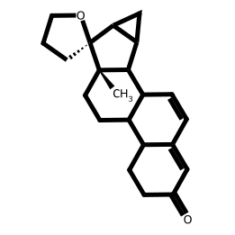 C[C@]12CCC3C4CCC(=O)C=C4C=CC3C1C1CC1[C@@]21CCCO1